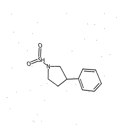 O=[SH](=O)N1CCC(c2ccccc2)C1